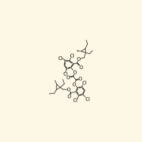 CCC1C(C)C1(CC)COC(=O)c1c(Cl)c(Cl)cc(Cl)c1OC(=O)C(=O)Oc1c(Cl)cc(Cl)c(Cl)c1C(=O)OCC1(CC)C(CC)[C@@H]1C